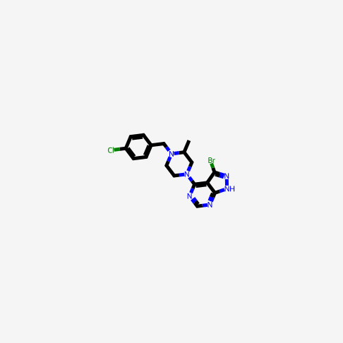 CC1CN(c2ncnc3[nH]nc(Br)c23)CCN1Cc1ccc(Cl)cc1